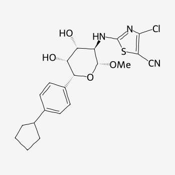 CO[C@@H]1O[C@H](c2ccc(C3CCCC3)cc2)[C@H](O)[C@H](O)[C@H]1Nc1nc(Cl)c(C#N)s1